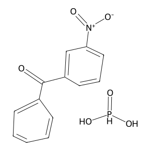 O=C(c1ccccc1)c1cccc([N+](=O)[O-])c1.O=[PH](O)O